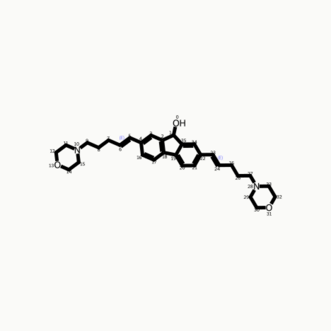 OC1c2cc(/C=C/CCCN3CCOCC3)ccc2-c2ccc(/C=C/CCCN3CCOCC3)cc21